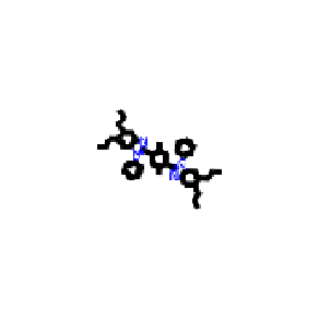 CCCc1cc2nc(-c3cc(C)c(-c4nc5cc(CCC)c(CCC)cc5n4-c4ccccc4)cc3C)n(-c3ccccc3)c2cc1CCC